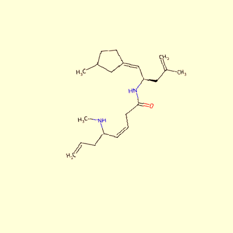 C=CCC(/C=C\CC(=O)N[C@@H](/C=C1/CCC(C)C1)CC(=C)C)NC